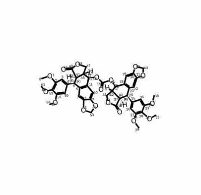 COc1cc([C@@H]2c3cc4c(cc3[C@H](OC(=O)O[C@H]3c5cc6c(cc5[C@@H](c5cc(OC)c(OC)c(OC)c5)[C@H]5C(=O)OC[C@@H]53)OCO6)[C@H]3COC(=O)[C@H]23)OCO4)cc(OC)c1OC